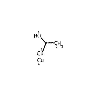 C[CH](O)[Cu].[Cu]